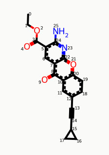 CCOC(=O)c1cc2c(=O)c3cc(C#CC4CC4)ccc3oc2nc1N